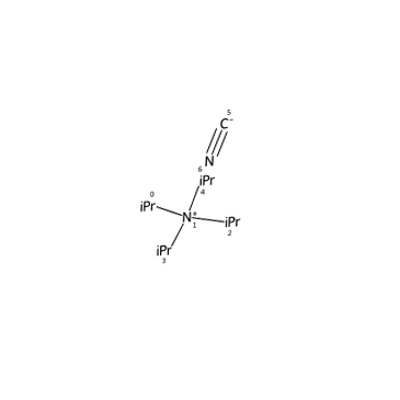 CC(C)[N+](C(C)C)(C(C)C)C(C)C.[C-]#N